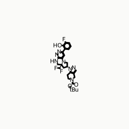 CC(C)(C)OC(=O)N1CCc2c(cnn2[C@H]2CN3c4cc(-c5cccc(F)c5O)nnc4NC[C@@]3(C(F)F)C2)C1